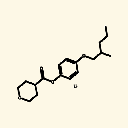 CCCC(C)COc1ccc(OC(=O)C2CCOCC2)cc1.[Li]